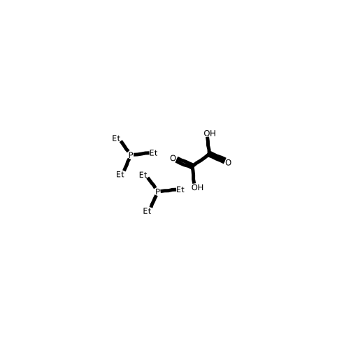 CCP(CC)CC.CCP(CC)CC.O=C(O)C(=O)O